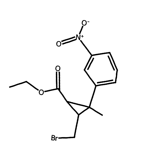 CCOC(=O)C1C(CBr)C1(C)c1cccc([N+](=O)[O-])c1